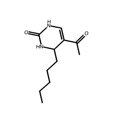 CCCCCC1NC(=O)NC=C1C(C)=O